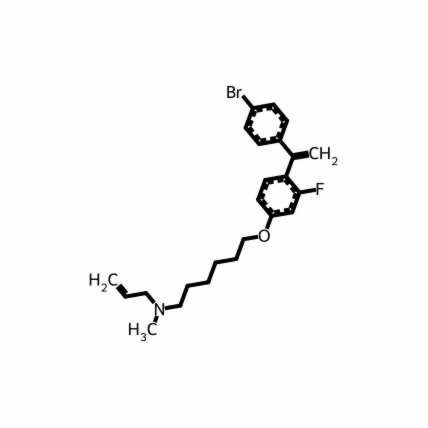 C=CCN(C)CCCCCCOc1ccc(C(=C)c2ccc(Br)cc2)c(F)c1